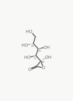 O=C1O[C@]1(O)[C@@H](O)[C@H](O)[C@H](O)CO